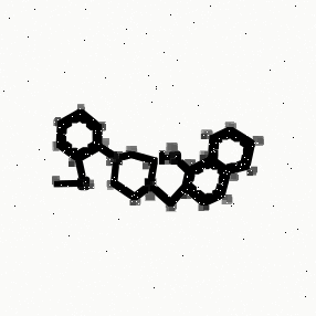 COc1ccccc1N1CCN(Cc2ccc3ccccc3c2O)CC1